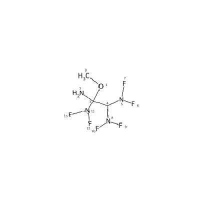 COC(N)(C(N(F)F)N(F)F)N(F)F